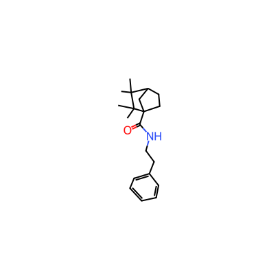 CC1(C)C2CCC(C(=O)NCCc3ccccc3)(C2)C1(C)C